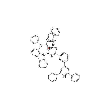 c1ccc(-c2cc(-c3cccc(-c4nc(-c5ccccc5)nc(-n5c6ccccc6c6ccc7c8ccccc8n(-c8cccc(-c9ccccc9)n8)c7c65)n4)c3)cc(-c3ccccc3)n2)cc1